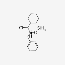 [SiH3]O[SiH](Cc1ccccc1)C(Cl)C1CCCCC1